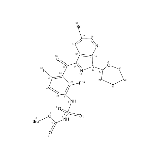 CC(C)(C)OC(=O)NS(=O)(=O)Nc1ccc(F)c(C(=O)c2nn(C3CCCCO3)c3ncc(Br)cc23)c1F